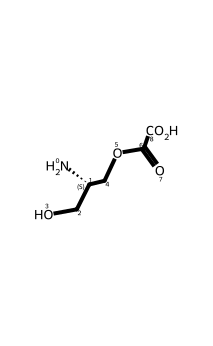 N[C@@H](CO)COC(=O)C(=O)O